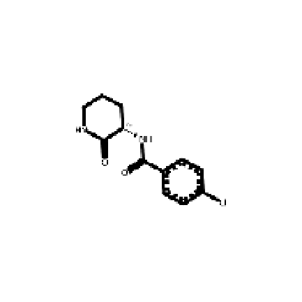 O=C(N[C@H]1CCCNC1=O)c1ccc(Cl)cc1